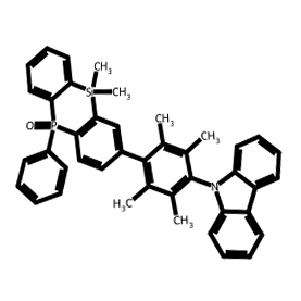 Cc1c(C)c(-n2c3ccccc3c3ccccc32)c(C)c(C)c1-c1ccc2c(c1)[Si](C)(C)c1ccccc1P2(=O)c1ccccc1